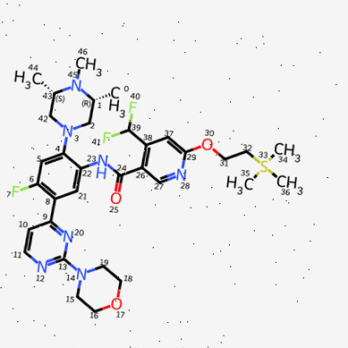 C[C@@H]1CN(c2cc(F)c(-c3ccnc(N4CCOCC4)n3)cc2NC(=O)c2cnc(OCCS(C)(C)C)cc2C(F)F)C[C@H](C)N1C